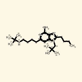 CCCCc1nc2c(N)nc(CCCCNC(C)(C)C)cc2n1CC(C)(C)O